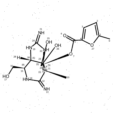 Cc1ccc(C(=O)O[C@H]2[C@H](C)N3C(=N)N[C@@H](CO)[C@@H]4NC(=N)N[C@@]43C2(O)O)o1